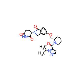 CC(C)n1nccc1C(=O)N1CCCC[C@H]1COc1ccc2c(c1)CN(C1CCC(=O)NC1=O)C2=O